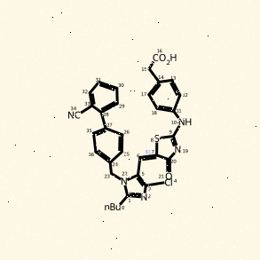 CCCCc1nc(Cl)c(/C=C2/SC(Nc3ccc(CC(=O)O)cc3)=NC2=O)n1Cc1ccc(-c2ccccc2C#N)cc1